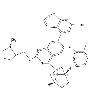 CN1CCCC1COc1nc(N2C[C@H]3CC[C@@H](C2)N3)c2cc(Oc3ccccc3Cl)c(-c3cc(O)cc4ccccc34)cc2n1